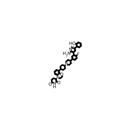 Nc1nnc(-c2ccccc2O)cc1-c1cc(C2CCN(C3CCC(c4cccc5c4OCCN5C4CCC(=O)NC4=O)CC3)CC2)ccc1F